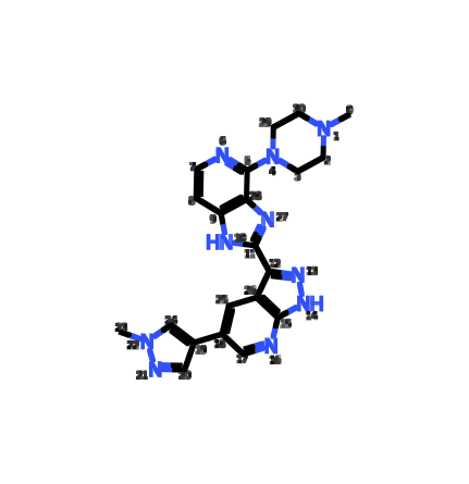 CN1CCN(c2nccc3[nH]c(-c4n[nH]c5ncc(-c6cnn(C)c6)cc45)nc23)CC1